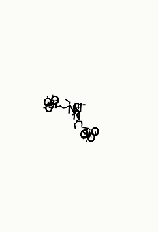 CCC(CCC[Si](OC)(OC)OC)n1cc[n+](C(CC)CCC[Si](OC)(OC)OC)c1.[Cl-]